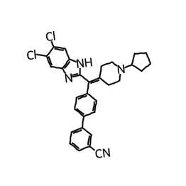 N#Cc1cccc(-c2ccc(C(=C3CCN(C4CCCC4)CC3)c3nc4cc(Cl)c(Cl)cc4[nH]3)cc2)c1